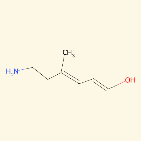 C/C(=C\C=C\O)CCN